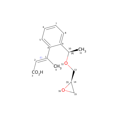 C/C(=C\C(=O)O)c1ccccc1[C@@H](C)OC[C@H]1CO1